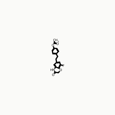 CC(=O)Oc1ccc(CCc2cc(F)c3c(c2)NC(=O)CO3)cc1